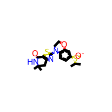 CC(C)[S+]([O-])c1ccc2c(c1)OCCN2c1nc2c(s1)C(=O)NC(C)(C)C2